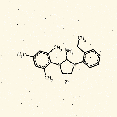 CCc1ccccc1N1CCN(c2c(C)cc(C)cc2C)C1N.[Zr]